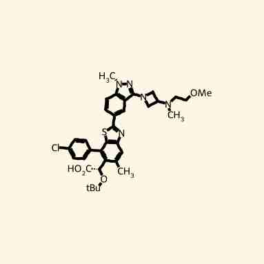 COCCN(C)C1CN(c2nn(C)c3ccc(-c4nc5cc(C)c([C@H](OC(C)(C)C)C(=O)O)c(-c6ccc(Cl)cc6)c5s4)cc23)C1